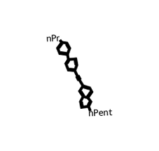 CCCCCc1ccc2cc(C#Cc3ccc(-c4ccc(CCC)cc4)cc3)ccc2c1